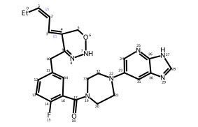 CC/C=C\C=C1/CONN=C1Cc1ccc(F)c(C(=O)N2CCN(c3cnc4[nH]cnc4c3)CC2)c1